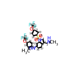 CNCc1cn(S(=O)(=O)c2ccc(OC(F)(F)F)cc2)c2cc(Nc3ccc(OC(F)(F)F)cc3C)ccc12